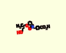 CC(CCCO)COC1=CC=CC2CN(Cc3ccc(C(=O)O)cc3)C(=O)C12